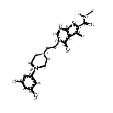 Cc1c(C(=O)N(C)C)sc2ncn(CCN3CCN(c4cc(Cl)cc(Cl)c4)CC3)c(=O)c12